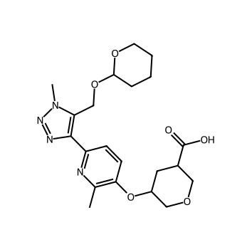 Cc1nc(-c2nnn(C)c2COC2CCCCO2)ccc1OC1COCC(C(=O)O)C1